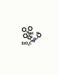 CCOC(=O)/C(=N/OCc1cccnc1)c1csc(NC(c2ccccc2)(c2ccccc2)c2ccccc2)n1